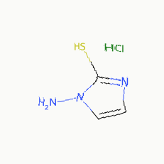 Cl.Nn1ccnc1S